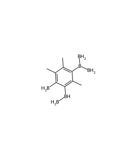 BBc1c(B)c(C)c(C)c(B(B)B)c1C